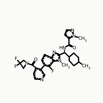 CC1CCC([C@H](NC(=O)c2ccnn2C)c2nc3ccc(-c4cnccc4C(=O)N4CC(F)(F)C4)c(F)c3n2C)CC1